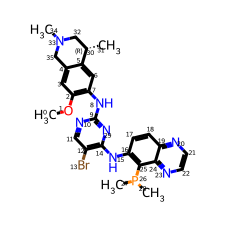 COc1cc2c(cc1Nc1ncc(Br)c(Nc3ccc4nccnc4c3P(C)C)n1)[C@@H](C)CN(C)C2